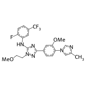 COCCn1nc(-c2ccc(-n3cnc(C)c3)c(OC)c2)nc1Nc1cc(C(F)(F)F)ccc1F